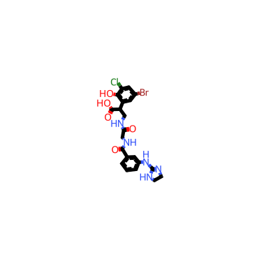 O=C(CNC(=O)c1cccc(NC2=NCCN2)c1)NCC(C(=O)O)c1cc(Br)cc(Cl)c1O